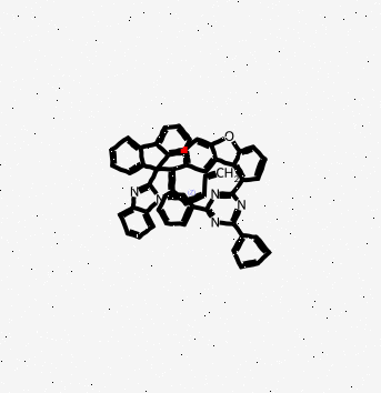 C=C/C=C\C1=C(c2ccc3oc4cccc(-c5nc(-c6ccccc6)nc(-c6ccccc6)n5)c4c3c2)C2(c3ccccc3-c3ccccc32)c2nc3ccccc3n21